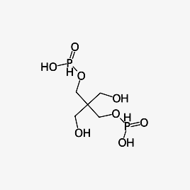 O=[PH](O)OCC(CO)(CO)CO[PH](=O)O